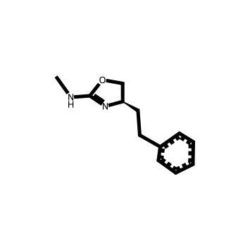 CNC1=N[C@H](CCc2ccccc2)CO1